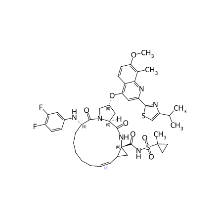 COc1ccc2c(O[C@@H]3C[C@H]4C(=O)N[C@]5(C(=O)NS(=O)(=O)C6(C)CC6)CC5/C=C\CCCCC[C@H](Nc5ccc(F)c(F)c5)C(=O)N4C3)cc(-c3nc(C(C)C)cs3)nc2c1C